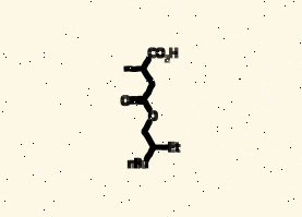 CCCCC(CC)COC(=O)CC(C)C(=O)O